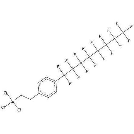 FC(F)(F)C(F)(F)C(F)(F)C(F)(F)C(F)(F)C(F)(F)C(F)(F)C(F)(F)c1ccc(CC[Si](Cl)(Cl)Cl)cc1